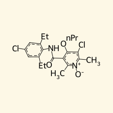 CCCOc1c(Cl)c(C)[n+]([O-])c(C)c1C(=O)Nc1c(CC)cc(Cl)cc1CC